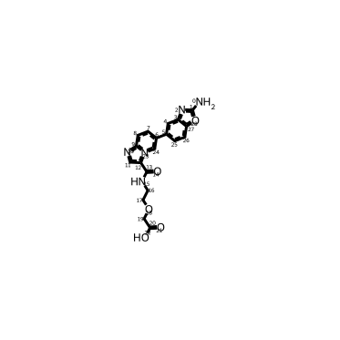 Nc1nc2cc(-c3ccc4ncc(C(=O)NCCOCC(=O)O)n4c3)ccc2o1